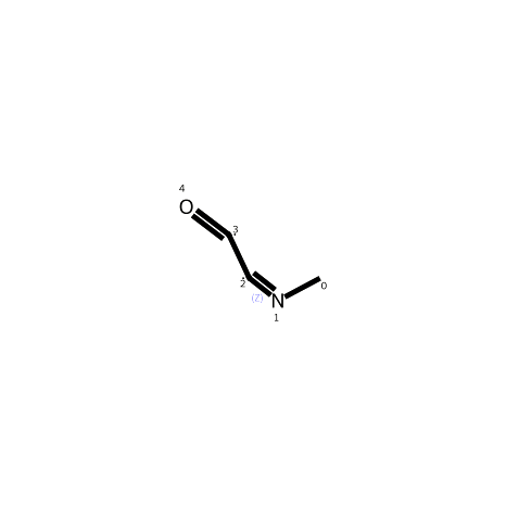 C/N=[C]\[C]=O